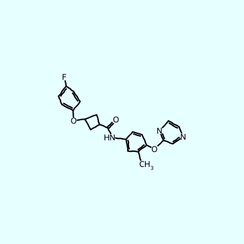 Cc1cc(NC(=O)C2CC(Oc3ccc(F)cc3)C2)ccc1Oc1cnccn1